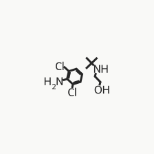 CC(C)(C)NCCO.Nc1c(Cl)cccc1Cl